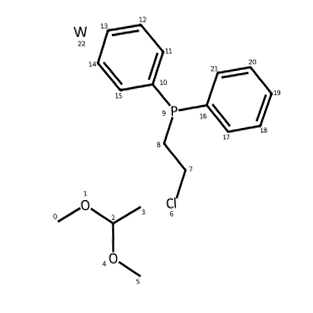 COC(C)OC.ClCCP(c1ccccc1)c1ccccc1.[W]